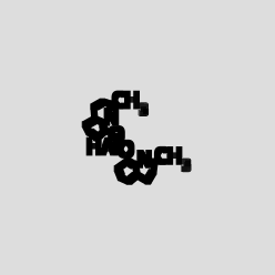 Cc1ccc2cccc([O][AlH][O]c3cccc4ccc(C)nc34)c2n1